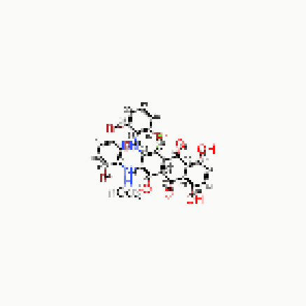 CCCCCCCCOc1c(Nc2c(Br)cccc2Br)c(Nc2c(Br)cccc2Br)c(F)c2c1C(=O)c1c(O)ccc(O)c1C2=O